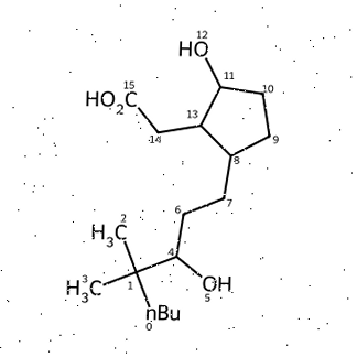 CCCCC(C)(C)C(O)CCC1CCC(O)C1CC(=O)O